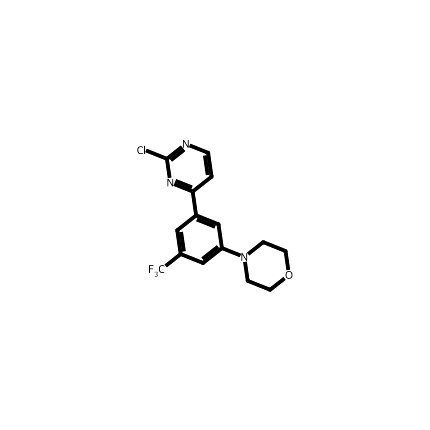 FC(F)(F)c1cc(-c2ccnc(Cl)n2)cc(N2CCOCC2)c1